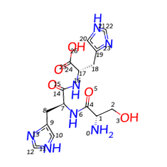 N[C@@H](CO)C(=O)N[C@@H](Cc1c[nH]cn1)C(=O)N[C@@H](Cc1c[nH]cn1)C(=O)O